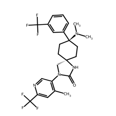 Cc1cc(C(F)(F)F)ncc1N1C[C@]2(CC[C@](c3cccc(C(F)(F)F)c3)(N(C)C)CC2)NC1=O